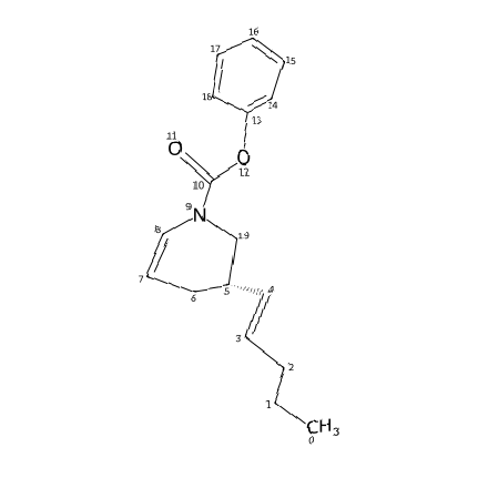 CCC/C=C/[C@@H]1CC=CN(C(=O)Oc2ccccc2)C1